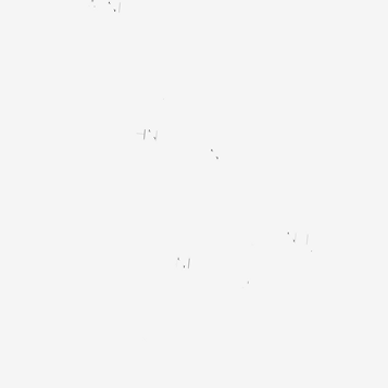 CC(=O)Nc1cccc(Nc2cc(NC3CCc4ccccc43)c(C(N)=O)cn2)c1